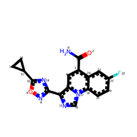 NC(=O)c1cc2c(-c3noc(C4CC4)n3)ncn2c2ccc(F)cc12